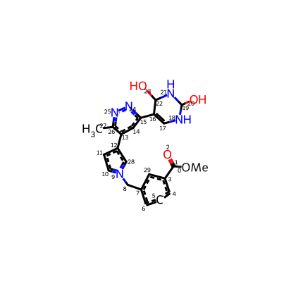 COC(=O)c1cccc(Cn2ccc(-c3cc(C4=CNC(O)NC4O)nnc3C)c2)c1